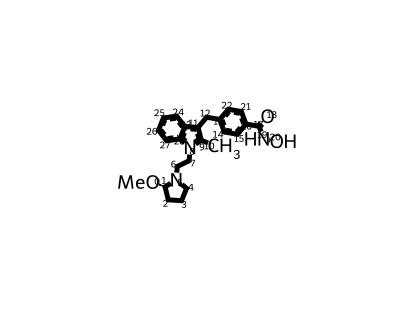 CO[C@H]1CCCN1CCn1c(C)c(Cc2ccc(C(=O)NO)cc2)c2ccccc21